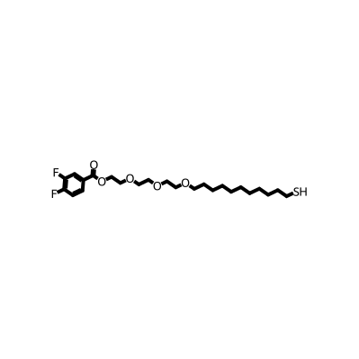 O=C(OCCOCCOCCOCCCCCCCCCCCS)c1ccc(F)c(F)c1